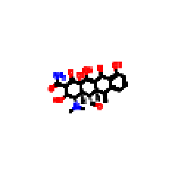 C=C1c2cccc(O)c2C(=O)C2=C(O)[C@]3(O)C(=O)C(C(N)=O)C(O)[C@@H](N(C)C)[C@@H]3[C@@H](C=O)[C@H]12